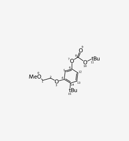 COCCOc1cc(OC(=O)OC(C)(C)C)ccc1C(C)(C)C